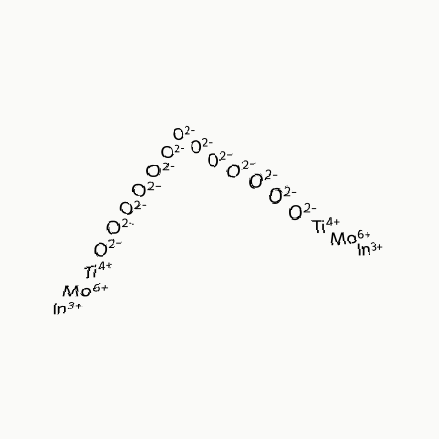 [In+3].[In+3].[Mo+6].[Mo+6].[O-2].[O-2].[O-2].[O-2].[O-2].[O-2].[O-2].[O-2].[O-2].[O-2].[O-2].[O-2].[O-2].[Ti+4].[Ti+4]